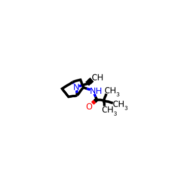 C#CN1C2CCC1C(NC(=O)C(C)(C)C)C2